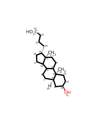 C[C@]12CCC3C(CC[C@@H]4C[C@H](O)CC[C@]34C)C1CC[C@@H]2CCCC(=O)O